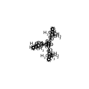 CC1(C)CC(OC(=O)CCn2c(=O)n(CCC(=O)OC3CC(C)(C)N(Cc4ccccc4)C(C)(C)C3)c(=O)n(CCC(=O)OC3CC(C)(C)N(Cc4ccccc4)C(C)(C)C3)c2=O)CC(C)(C)N1Cc1ccccc1